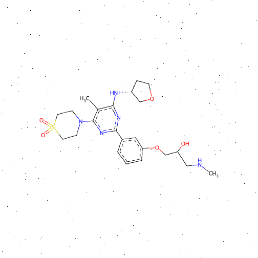 CNCC(O)COc1cccc(-c2nc(N[C@@H]3CCOC3)c(C)c(N3CCS(=O)(=O)CC3)n2)c1